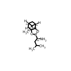 CC(C)C[C@H](N)B1OC2[C@H]3C[C@@H](C[C@]2(C)O1)C3(C)C